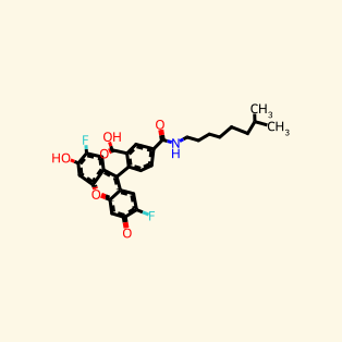 CC(C)CCCCCCNC(=O)c1ccc(-c2c3cc(F)c(=O)cc-3oc3cc(O)c(F)cc23)c(C(=O)O)c1